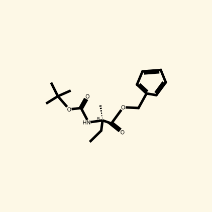 CC[C@@](C)(NC(=O)OC(C)(C)C)C(=O)OCc1ccccc1